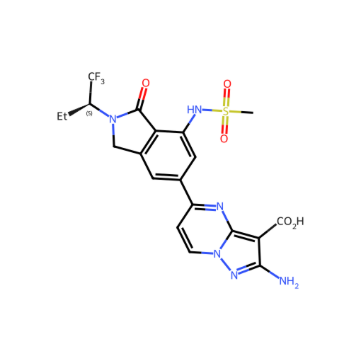 CC[C@H](N1Cc2cc(-c3ccn4nc(N)c(C(=O)O)c4n3)cc(NS(C)(=O)=O)c2C1=O)C(F)(F)F